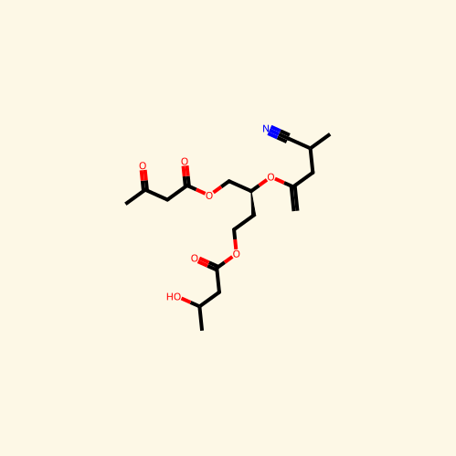 C=C(CC(C)C#N)O[C@@H](CCOC(=O)CC(C)O)COC(=O)CC(C)=O